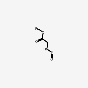 CC(C)OC(=O)CNP=O